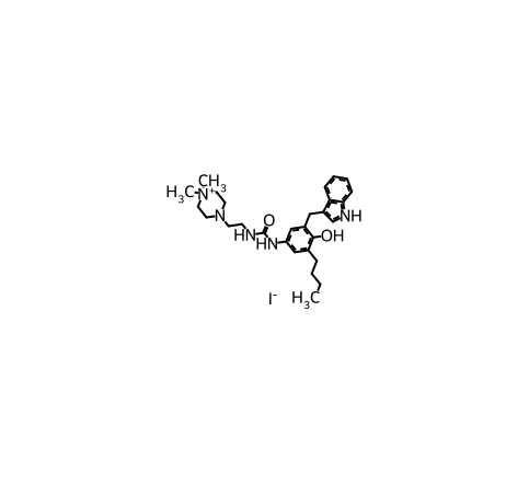 CCCCc1cc(NC(=O)NCCN2CC[N+](C)(C)CC2)cc(Cc2c[nH]c3ccccc23)c1O.[I-]